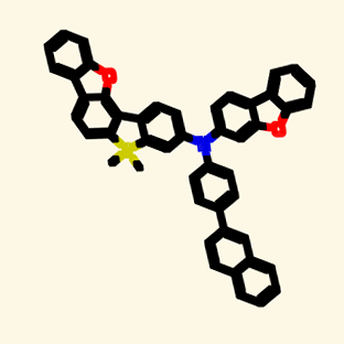 CS1(C)c2cc(N(c3ccc(-c4ccc5ccccc5c4)cc3)c3ccc4c(c3)oc3ccccc34)ccc2-c2c1ccc1c2oc2ccccc21